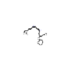 CCCCC/C=C\C/C=C\CC(CC=O)O[C@@H]1CCCCO1